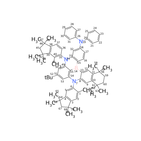 Cc1cc2c(cc1N1c3cc4c(cc3B3c5ccc(N(c6ccccc6)c6ccccc6)cc5N(c5ccc6c(c5C)C(C)(C)CC6(C)C)c5cc(C(C)(C)C)cc1c53)C(C)(C)CCC4(C)C)C(C)(C)CC2(C)C